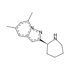 Cc1cc(C)n2nc([C@@H]3CCCCN3)cc2c1